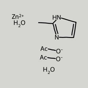 CC(=O)[O-].CC(=O)[O-].Cc1ncc[nH]1.O.O.[Zn+2]